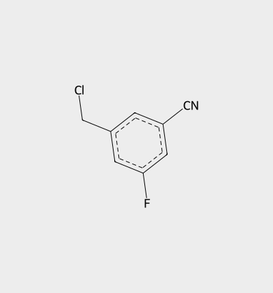 N#Cc1cc(F)cc(CCl)c1